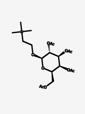 CC(=O)OC[C@H]1O[C@@H](OCC[Si](C)(C)C)[C@H](OC(C)=O)[C@@H](OC(C)=O)[C@H]1OC(C)=O